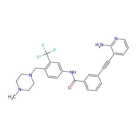 CN1CCN(Cc2ccc(NC(=O)c3cccc(C#Cc4cccnc4N)c3)cc2C(F)(F)F)CC1